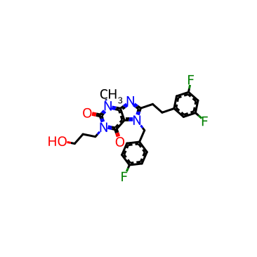 Cn1c(=O)n(CCCO)c(=O)c2c1nc(CCc1cc(F)cc(F)c1)n2Cc1ccc(F)cc1